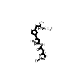 CCC(CC1CCC(c2cc(NC(=O)Cc3cnn(CC)n3)n[nH]2)C1)NC(=O)O